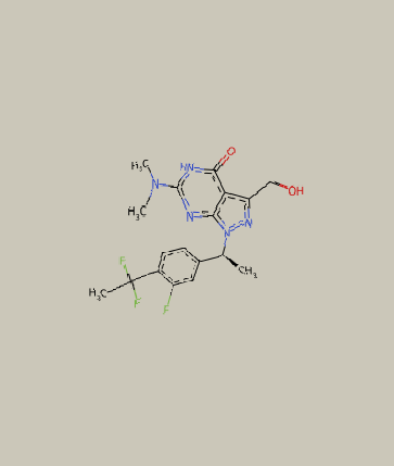 C[C@@H](c1ccc(C(C)(F)F)c(F)c1)n1nc(CO)c2c(=O)[nH]c(N(C)C)nc21